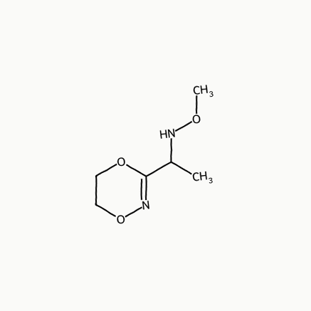 CONC(C)C1=NOCCO1